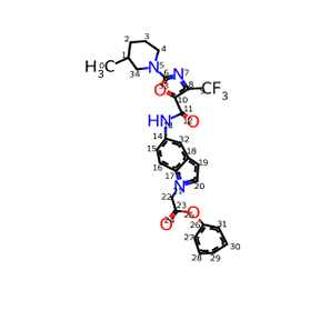 CC1CCCN(c2nc(C(F)(F)F)c(C(=O)Nc3ccc4c(ccn4CC(=O)Oc4ccccc4)c3)o2)C1